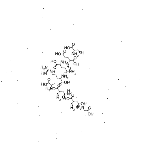 CC(N)C(=O)O.N=C(N)NCCCC(N)C(=O)O.NC(=O)CC(N)C(=O)O.NC(=O)CCC(N)C(=O)O.NC(CC(=O)O)C(=O)O.NC(CCC(=O)O)C(=O)O.NC(CS)C(=O)O.NCC(=O)O